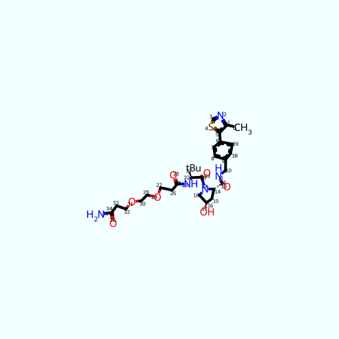 Cc1ncsc1-c1ccc(CNC(=O)[C@@H]2C[C@@H](O)CN2C(=O)[C@@H](NC(=O)CCOCCOCCC(N)=O)C(C)(C)C)cc1